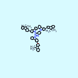 CC1(C)c2ccccc2-c2ccc(-c3ccc4c(c3)c3ccccc3n4-c3ccc4nc(-n5c6ccccc6c6cc(-c7ccc8c(c7)C(C)(C)c7ccccc7-8)ccc65)nc(-n5c6ccccc6c6cc(-c7ccc8c(c7)C(C)(C)c7ccccc7-8)ccc65)c4c3)cc21